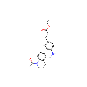 CCOC(=O)CCc1ccc(N(C)Cc2cccc3c2CCCN3C(C)=O)cc1F